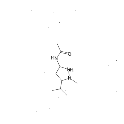 CC(=O)NC1CC(C(C)C)N(C)N1